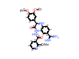 CCOc1cc(C(Nc2ccc(C(=N)N)cc2)C(=O)NNC(=O)c2cccnc2OC)ccc1OC(C)C